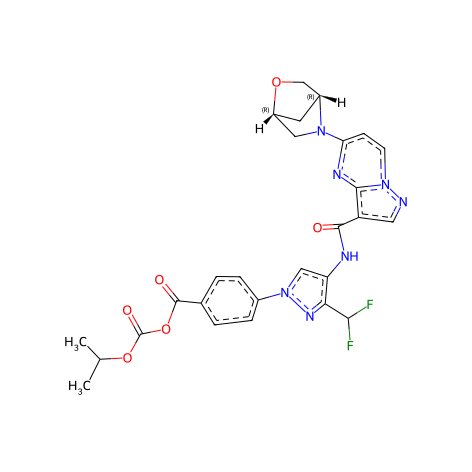 CC(C)OC(=O)OC(=O)c1ccc(-n2cc(NC(=O)c3cnn4ccc(N5C[C@H]6C[C@@H]5CO6)nc34)c(C(F)F)n2)cc1